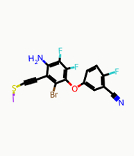 N#Cc1cc(Oc2c(F)c(F)c(N)c(C#CSI)c2Br)ccc1F